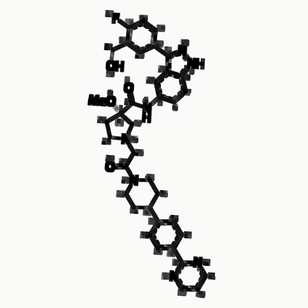 CO[C@@]1(C(=O)Nc2ccc3[nH]nc(-c4ccc(F)c(CO)c4)c3c2)CCN(CC(=O)N2CCC(c3ccc(-c4ncccn4)cc3)CC2)C1